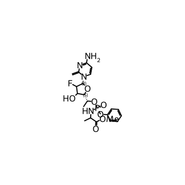 C=C1N=C(N)C=CN1[C@@H]1O[C@H](C(C)OP(=O)(NC(C)C(=O)OC)Oc2ccccc2)C(O)C1F